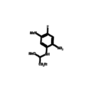 CCOC(=O)C(Nc1cc(NC)c(F)cc1[N+](=O)[O-])OC